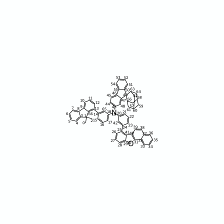 CC1(C)c2ccccc2-c2cccc(-c3cccc(N(c4cccc(-c5cccc6oc7c8ccccc8ccc7c56)c4)c4ccc5c(c4)C4(c6ccccc6-5)C5CC6CC(C5)CC4C6)c3)c21